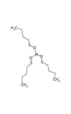 CCCCS[O][Al]([O]SCCCC)[O]SCCCC